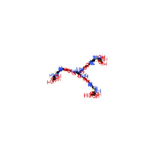 NC(CCC(=O)NCCOCCOCCn1cc(CCc2nnc(N[C@H]3CO[C@H](CO)[C@H](O)[C@@H]3O)s2)nn1)(CCC(=O)NCCOCCOCCn1cc(CCc2nnc(N[C@H]3CO[C@H](CO)[C@H](O)[C@@H]3O)s2)nn1)CCC(=O)NCCOCCOCCn1cc(CCc2nnc(N[C@H]3CO[C@H](CO)[C@H](O)[C@@H]3O)s2)nn1